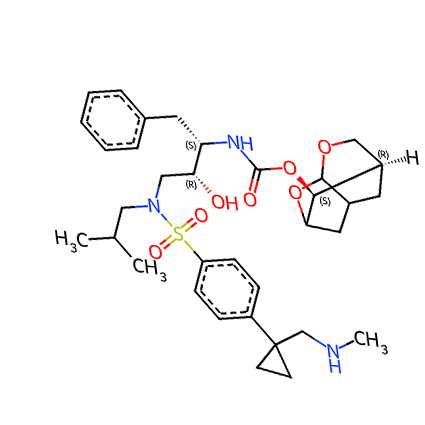 CNCC1(c2ccc(S(=O)(=O)N(CC(C)C)C[C@@H](O)[C@H](Cc3ccccc3)NC(=O)O[C@@H]3C4CC5C[C@@H]3COC5O4)cc2)CC1